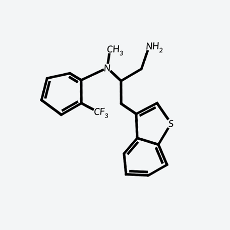 CN(c1ccccc1C(F)(F)F)C(CN)Cc1csc2ccccc12